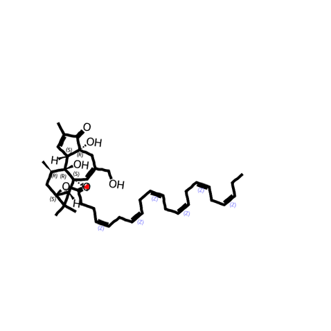 CC/C=C\C/C=C\C/C=C\C/C=C\C/C=C\C/C=C\CCC(=O)O[C@@]12C[C@@H](C)[C@@]3(O)[C@@H](C=C(CO)C[C@]4(O)C(=O)C(C)=C[C@@H]34)[C@@H]1C2(C)C